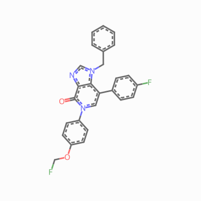 O=c1c2ncn(Cc3ccccc3)c2c(-c2ccc(F)cc2)cn1-c1ccc(OCF)cc1